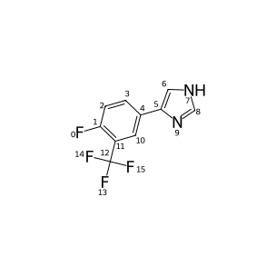 Fc1ccc(-c2c[nH]cn2)cc1C(F)(F)F